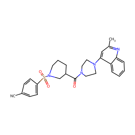 Cc1cc(N2CCN(C(=O)C3CCCN(S(=O)(=O)c4ccc(C#N)cc4)C3)CC2)c2ccccc2n1